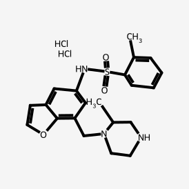 Cc1ccccc1S(=O)(=O)Nc1cc(CN2CCNCC2C)c2occc2c1.Cl.Cl